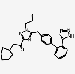 CCCn1nc(C(=O)CC2CCCCC2)nc1Cc1ccc(-c2cccnc2-c2nnn[nH]2)cc1